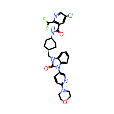 O=C(N[C@H]1CC[C@H](Cn2c(=O)n(-c3ccc(N4CCOCC4)nc3)c3ccccc32)CC1)c1cc(Cl)cnc1C(F)F